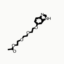 CC(=O)OCCOCCOCCOc1ccc2nc[nH]c2c1